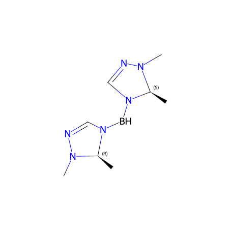 C[C@@H]1N(BN2C=NN(C)[C@H]2C)C=NN1C